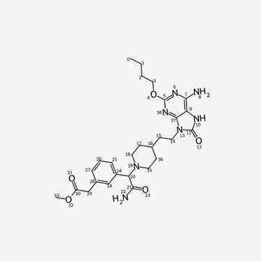 CCCCOc1nc(N)c2[nH]c(=O)n(CCC3CCN(C(C(N)=O)c4cccc(CC(=O)OC)c4)CC3)c2n1